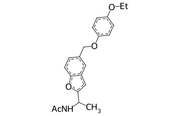 CCOc1ccc(OCc2ccc3oc(C(C)NC(C)=O)cc3c2)cc1